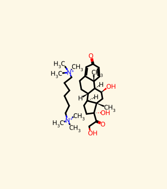 C[C@]12C=CC(=O)C=C1CC[C@@H]1[C@@H]2[C@@H](O)C[C@@]2(C)[C@H]1CC[C@]2(O)C(=O)CO.C[N+](C)(C)CCCCCC[N+](C)(C)C